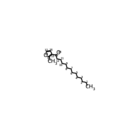 CCCCCCCCCCCCCC(=O)c1ccoc1C